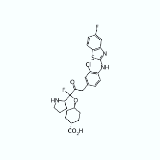 O=C(Cc1ccc(Nc2nc3cc(F)ccc3s2)c(Cl)c1)C(F)(O[C@H]1CC[C@H](C(=O)O)CC1)C1CCCN1